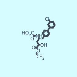 O=C(O)C(=O)N[C@H](Cc1ccc(-c2cccc(Cl)c2)cc1)CC(O)C(=O)OCC(F)(F)F